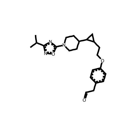 CC(C)c1noc(N2CCC(C3CC3CCOc3ccc(CC=O)cc3)CC2)n1